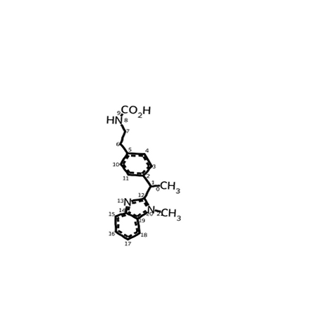 CC(c1ccc(CCNC(=O)O)cc1)c1nc2ccccc2n1C